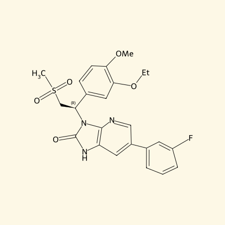 CCOc1cc([C@H](CS(C)(=O)=O)n2c(=O)[nH]c3cc(-c4cccc(F)c4)cnc32)ccc1OC